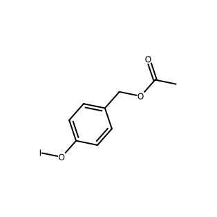 CC(=O)OCc1ccc(OI)cc1